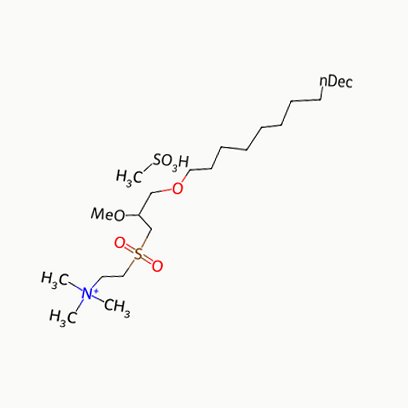 CCCCCCCCCCCCCCCCCCOCC(CS(=O)(=O)CC[N+](C)(C)C)OC.CS(=O)(=O)O